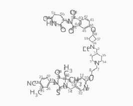 CCN(CC1CCN(CCOc2ccc(CN3C(=S)N(c4ccc(C#N)c(C)c4)C(=O)C3(C)C)cn2)CC1)[C@H]1C[C@H](Oc2ccc3c(c2)C(=O)N(C2CCC(=O)NC2=O)C3=O)C1